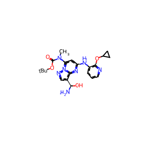 CN(C(=O)OC(C)(C)C)c1cc(Nc2cccnc2OC2CC2)nc2c(C(N)O)cnn12